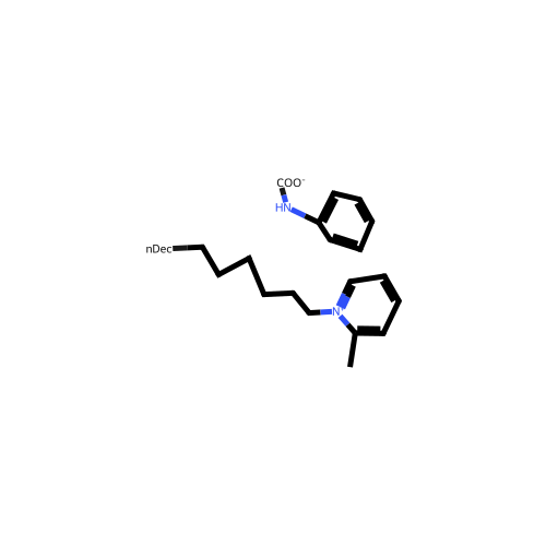 CCCCCCCCCCCCCCCC[n+]1ccccc1C.O=C([O-])Nc1ccccc1